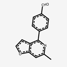 Cc1cc2occc2c(-c2ccc(C=O)cc2)n1